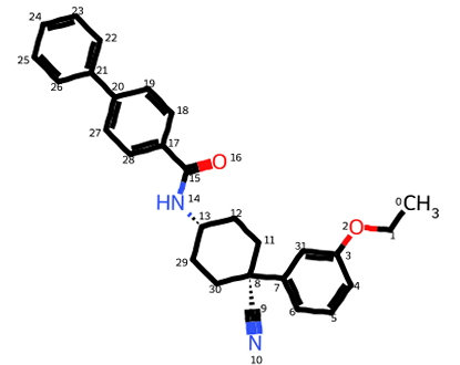 CCOc1cccc([C@]2(C#N)CC[C@@H](NC(=O)c3ccc(-c4ccccc4)cc3)CC2)c1